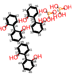 OP(O)O.OP(O)O.Oc1ccccc1-c1ccccc1O.Oc1ccccc1-c1ccccc1O.Oc1ccccc1-c1ccccc1O